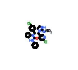 O=C(Nc1ccccc1)N(Cc1ccc(Cl)cc1)C1CCCC1.O=[N+]([O-])/N=C1\NCCN1Cc1ccc(Cl)nc1